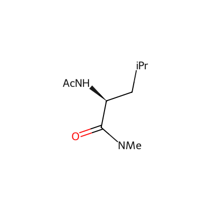 CNC(=O)[C@H](CC(C)C)NC(C)=O